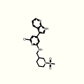 CS(=O)(=O)N1CCCC(CNc2cc(-c3c[nH]c4ncccc34)cc(Cl)n2)C1